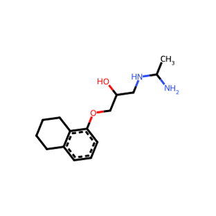 CC(N)NCC(O)COc1cccc2c1CCCC2